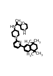 C=C(NC1CCN(c2cccc(-c3ccc4c(c3)C(C)(C)CCC4(C)C)n2)CC1)C1CNCCO1